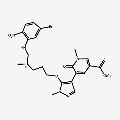 COC(=O)c1cc(-c2cnn(C)c2OCCC[C@@H](C)CNc2cc(Br)ccc2[N+](=O)[O-])c(=O)n(C)c1